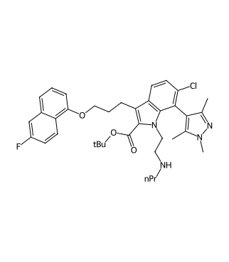 CCCNCCn1c(C(=O)OC(C)(C)C)c(CCCOc2cccc3cc(F)ccc23)c2ccc(Cl)c(-c3c(C)nn(C)c3C)c21